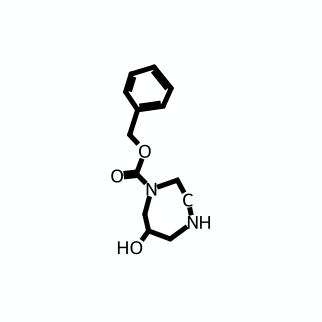 O=C(OCc1ccccc1)N1CCNCC(O)C1